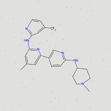 Cc1cc(Nc2cc(C(F)(F)F)ccn2)nc(-c2ccc(NC3CCN(C)CC3)nc2)c1